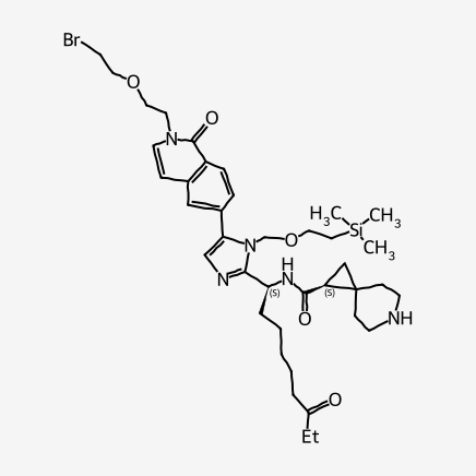 CCC(=O)CCCCC[C@H](NC(=O)[C@H]1CC12CCNCC2)c1ncc(-c2ccc3c(=O)n(CCOCCBr)ccc3c2)n1COCC[Si](C)(C)C